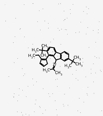 CCC1=C(c2c(C(C)(C)C)ccc3c2[CH]([Zr]=[C](C)C)c2cc(C(C)(C)C)ccc2-3)CC=C1